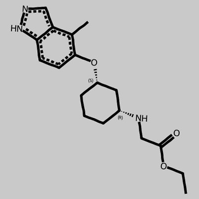 CCOC(=O)CN[C@@H]1CCC[C@H](Oc2ccc3[nH]ncc3c2C)C1